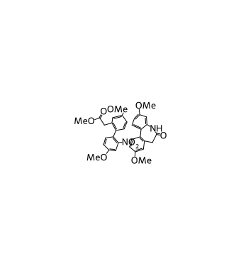 COC(=O)Cc1cc(OC)ccc1-c1ccc(OC)cc1[N+](=O)[O-].COc1ccc2c(c1)CC(=O)Nc1cc(OC)ccc1-2